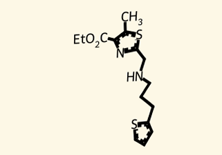 CCOC(=O)c1nc(CNCCCc2cccs2)sc1C